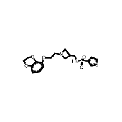 O=S(=O)(NCC1CN(CCOc2cccc3c2OCCO3)C1)c1ccsc1